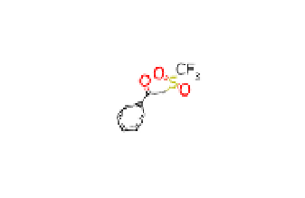 O=C(CS(=O)(=O)C(F)(F)F)c1ccccc1